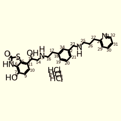 Cl.Cl.Cl.O=c1[nH]c2c(O)ccc([C@@H](O)CNCCc3cccc(CNCCCc4ccccn4)c3)c2s1